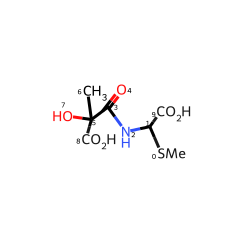 CSC(NC(=O)C(C)(O)C(=O)O)C(=O)O